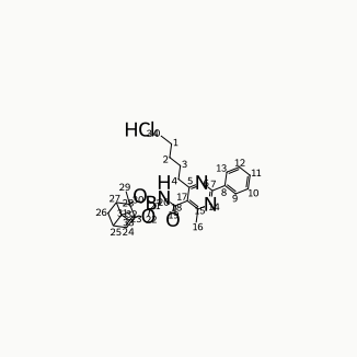 CCCCCc1nc(-c2ccccc2)nc(C)c1C(=O)NB1OC2=CC3CC(C2(C)O1)C3(C)C.Cl